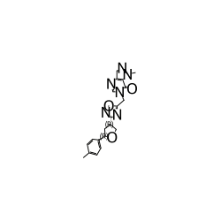 Cc1ccc([C@H]2C[C@H](c3noc(Cn4cnc5cnn(C)c5c4=O)n3)CO2)cc1